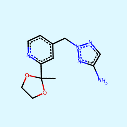 CC1(c2cc(Cn3ncc(N)n3)ccn2)OCCO1